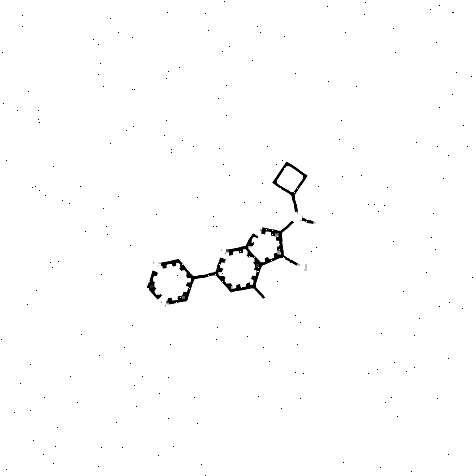 Cc1cc(-c2cncnc2)nc2sc([S+]([O-])C3CCC3)c(N)c12